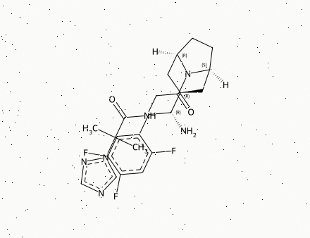 CC(C)(C(=O)NCC(=O)N1[C@@H]2CC[C@H]1C[C@@H]([C@H](N)Cc1cc(F)c(F)cc1F)C2)n1cncn1